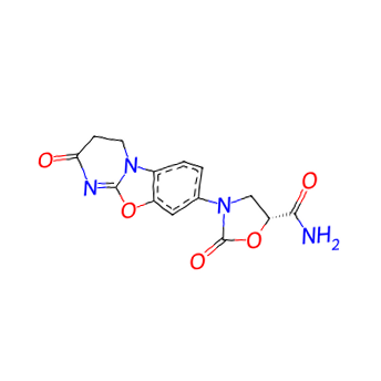 NC(=O)[C@H]1CN(c2ccc3c(c2)OC2=NC(=O)CCN23)C(=O)O1